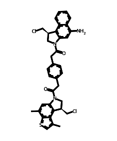 Cc1cc2c(c3c(C)csc13)[C@H](CCl)CN2C(=O)Cc1ccc(CC(=O)N2C[C@@H](CCl)c3c2cc(N)c2ccccc32)cc1